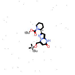 CC(C)(C)OC(=O)N1CCCC[C@H]1c1cc2[nH]c(=O)cc(CO[Si](C)(C)C(C)(C)C)n2n1